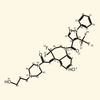 Cl.O=C(C=C1c2ccccc2N(C(=O)c2cnn(-c3ccccc3)c2C(F)(F)F)CCC1(F)F)N1CCN(CCCO)CC1